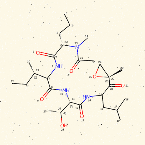 CCC[C@@H](C(=O)NC(C(=O)N[C@H](C(=O)NC(CC(C)C)C(=O)[C@@]1(C)CO1)[C@@H](C)O)[C@@H](C)CC)N(C)C(C)=O